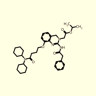 CC(C)OC(=O)CN1Cc2cccc(OCCCC(=O)N(C3CCCCC3)C3CCCCC3)c2N=C1NC(=O)Cc1ccccc1